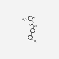 CC1=CCC(=S)C(CC(=O)Nc2ccc(-c3ccnc(C)c3)cc2)=C1